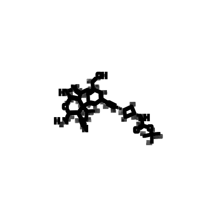 Cc1n[nH]c2c1C(c1cc(C#C[C@H]3C[C@@H](NC(=O)OC(C)(C)C)C3)cc(CO)c1)(C(C)C)C(C#N)=C(N)O2